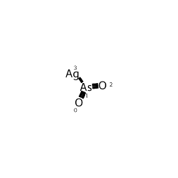 O=[As](=O)[Ag]